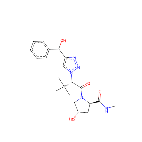 CNC(=O)[C@H]1C[C@H](O)CN1C(=O)[C@@H](n1cc(C(O)c2ccccc2)nn1)C(C)(C)C